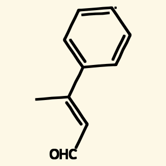 CC(=CC=O)c1cc[c]cc1